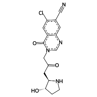 N#Cc1cc2ncn(CC(=O)C[C@H]3NCC[C@@H]3O)c(=O)c2cc1Cl